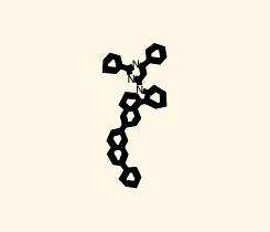 c1ccc(-c2ccc3ccc(-c4ccc5c(ccc6c5c5ccccc5n6-c5cc(-c6ccccc6)nc(-c6ccccc6)n5)c4)cc3c2)cc1